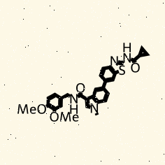 COc1ccc(CNC(=O)c2cn(C)c3ccc(-c4ccc5nc(NC(=O)C6CC6)sc5c4)cc23)cc1OC